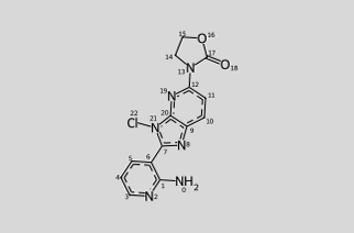 Nc1ncccc1-c1nc2ccc(N3CCOC3=O)nc2n1Cl